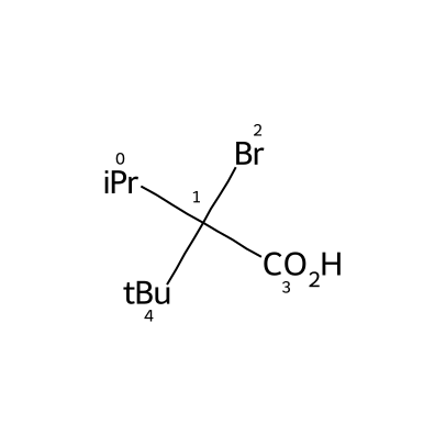 CC(C)C(Br)(C(=O)O)C(C)(C)C